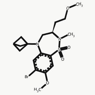 COCC[C@@H]1CN(C23CC(C2)C3)c2cc(Br)c(OC)cc2S(=O)(=O)N1C